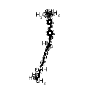 CC(O)CNCC(=O)NCCOCCOCOCOCC(=O)NCCOc1ccc(C=Cc2ccc(B3OC(C)(C)C(C)(C)O3)cc2)cc1